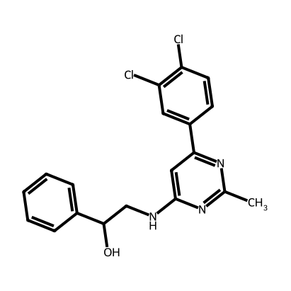 Cc1nc(NCC(O)c2ccccc2)cc(-c2ccc(Cl)c(Cl)c2)n1